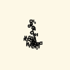 CCOC(=O)c1ccnc(-c2cccc(NCCN(C[C@H](O[Si](C)(C)C(C)(C)C)c3cccc(Cl)c3)C(=O)OC(C)(C)C)c2)c1